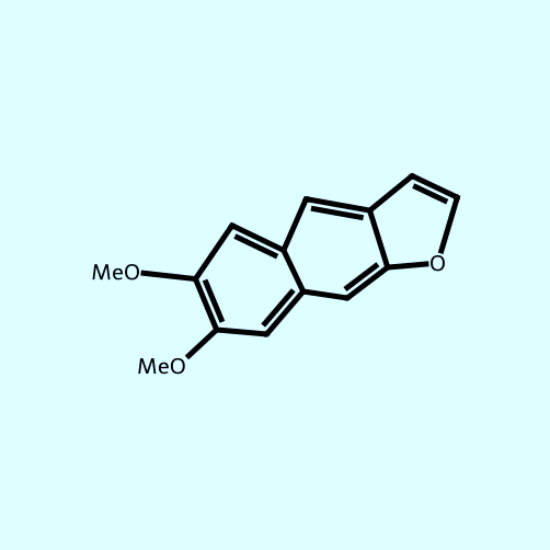 COc1cc2cc3ccoc3cc2cc1OC